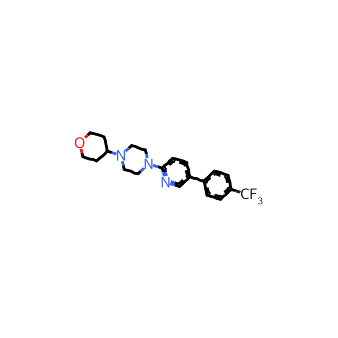 FC(F)(F)c1ccc(-c2ccc(N3CCN(C4CCOCC4)CC3)nc2)cc1